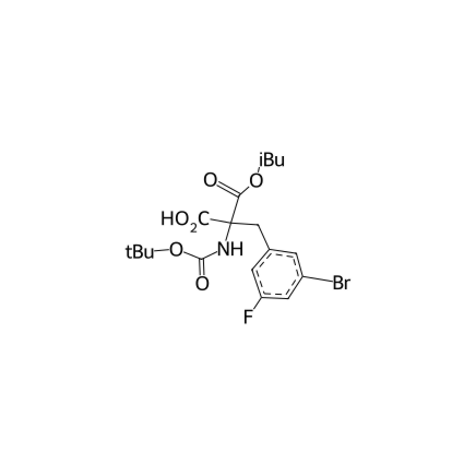 CCC(C)OC(=O)C(Cc1cc(F)cc(Br)c1)(NC(=O)OC(C)(C)C)C(=O)O